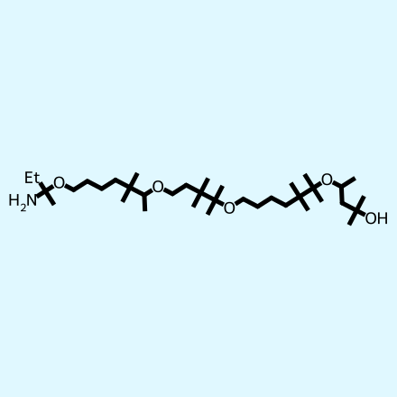 CCC(C)(N)OCCCCC(C)(C)C(C)OCCC(C)(C)C(C)(C)OCCCCC(C)(C)C(C)(C)OC(C)CC(C)(C)O